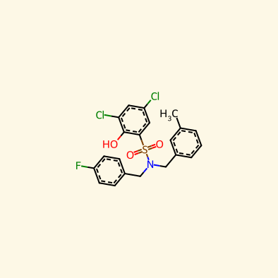 Cc1cccc(CN(Cc2ccc(F)cc2)S(=O)(=O)c2cc(Cl)cc(Cl)c2O)c1